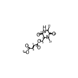 COC(=O)/C=C/C(=O)OCC1C(=O)NC(C)C(=O)N1C